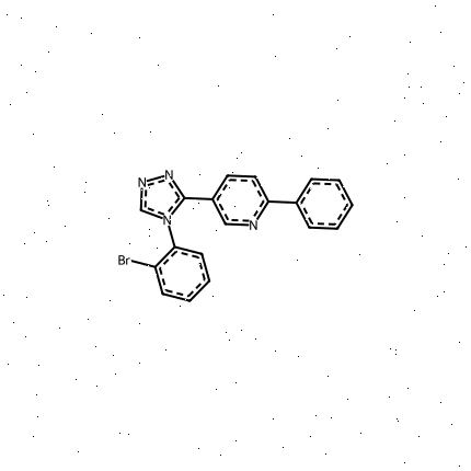 Brc1ccccc1-n1cnnc1-c1ccc(-c2ccccc2)nc1